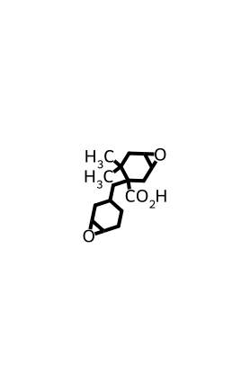 CC1(C)CC2OC2CC1(CC1CCC2OC2C1)C(=O)O